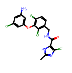 Cc1nc(Cl)c(C(=O)NCc2ccc(F)c(Oc3cc(N)cc(Cl)c3)c2Cl)[nH]1